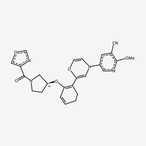 COc1ncc(N2C=COC(C3=C(O[C@H]4CCN(C(=O)c5cocn5)C4)C=CCC3)=C2)cc1C#N